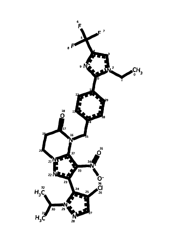 CCn1cc(C(F)(F)F)nc1-c1ccc(CN2C(=O)CCn3nc(-c4c(Cl)cnn4C(C)C)c([N+](=O)[O-])c32)cc1